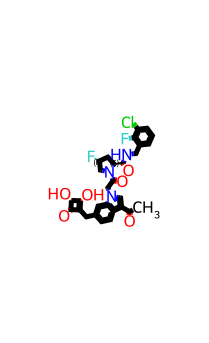 CC(=O)c1cn(CC(=O)N2C[C@H](F)C[C@H]2C(=O)NCc2cccc(Cl)c2F)c2cc(CC3=C(O)C(O)C3=O)ccc12